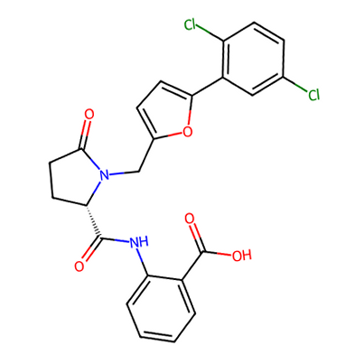 O=C(O)c1ccccc1NC(=O)[C@@H]1CCC(=O)N1Cc1ccc(-c2cc(Cl)ccc2Cl)o1